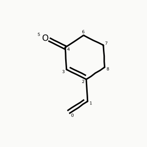 C=CC1=CC(=O)CCC1